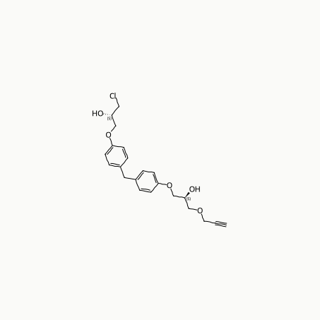 C#CCOC[C@H](O)COc1ccc(Cc2ccc(OC[C@H](O)CCl)cc2)cc1